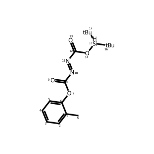 Cc1ccccc1OC(=O)N=NC(=O)O[SiH](C(C)(C)C)C(C)(C)C